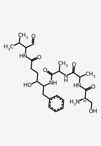 CC(NC(=O)C(C)NC(=O)[C@H](N)CO)C(=O)NC(Cc1ccccc1)C(O)CCC(=O)NC([C]=O)C(C)C